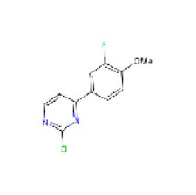 COc1ccc(-c2ccnc(Cl)n2)cc1F